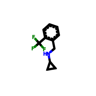 FC(F)(F)c1ccccc1CNC1CC1